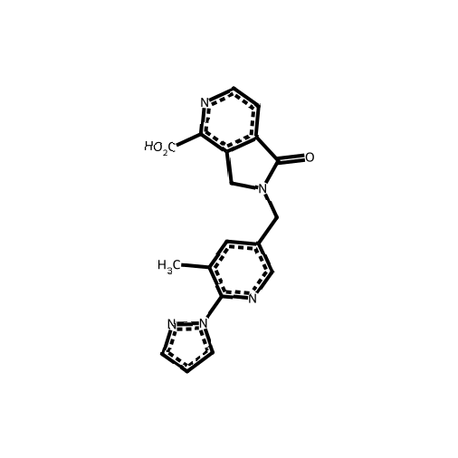 Cc1cc(CN2Cc3c(ccnc3C(=O)O)C2=O)cnc1-n1cccn1